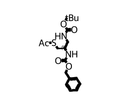 CC(=O)SC[C@@H](CNC(=O)OC(C)(C)C)NC(=O)OCc1ccccc1